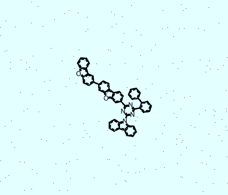 c1ccc(-c2ccccc2-c2nc(-c3ccc4c(c3)oc3cc(-c5ccc6oc7ccccc7c6c5)ccc34)nc(-n3c4ccccc4c4ccccc43)n2)cc1